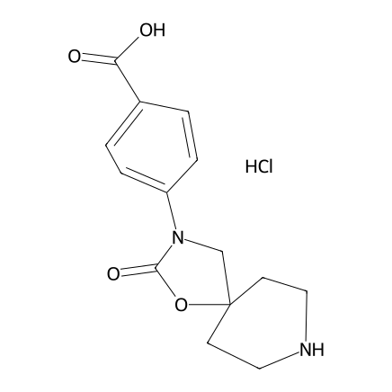 Cl.O=C(O)c1ccc(N2CC3(CCNCC3)OC2=O)cc1